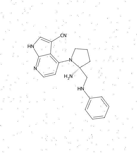 N#Cc1c[nH]c2nccc(N3CCC[C@@]3(N)CNc3ccccc3)c12